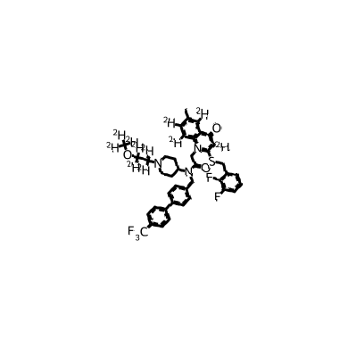 [2H]c1c(C)c([2H])c2c(=O)c([2H])c(SCc3cccc(F)c3F)n(CC(=O)N(Cc3ccc(-c4ccc(C(F)(F)F)cc4)cc3)C3CCN(C([2H])([2H])C([2H])([2H])OC([2H])([2H])[2H])CC3)c2c1[2H]